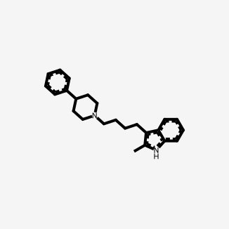 Cc1[nH]c2ccccc2c1CCCCN1CCC(c2ccccc2)CC1